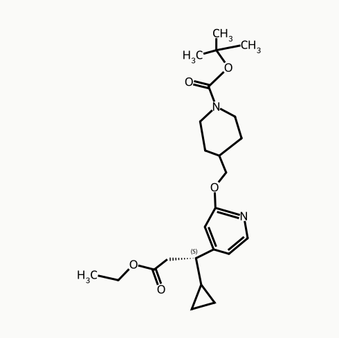 CCOC(=O)C[C@H](c1ccnc(OCC2CCN(C(=O)OC(C)(C)C)CC2)c1)C1CC1